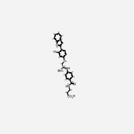 CC[C@H](C)[C@@H](COc1ccc(-c2cc3ccccc3o2)c(F)c1)Nc1ccc(C(=O)NCCC(=O)O)cc1